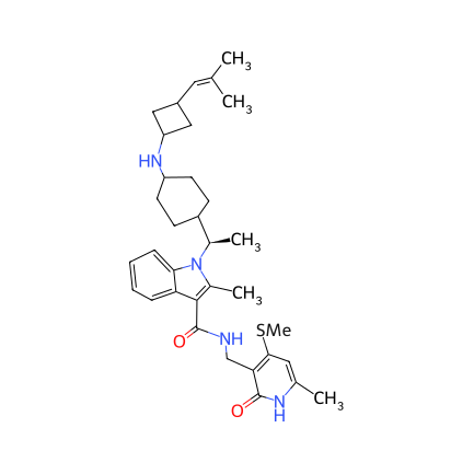 CSc1cc(C)[nH]c(=O)c1CNC(=O)c1c(C)n([C@H](C)C2CCC(NC3CC(C=C(C)C)C3)CC2)c2ccccc12